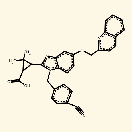 CC1(C)C(C(=O)O)C1c1nc2cc(OCc3ccc4ccccc4n3)ccc2n1Cc1ccc(C#N)cc1